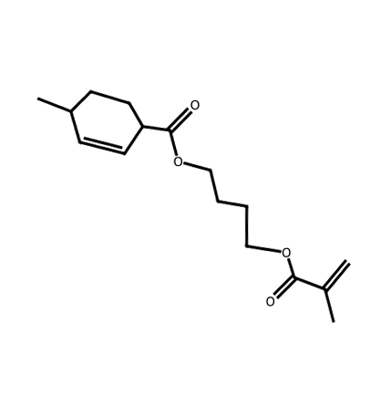 C=C(C)C(=O)OCCCCOC(=O)C1C=CC(C)CC1